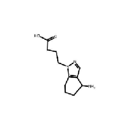 NC1CCCc2c1cnn2CCCC(=O)O